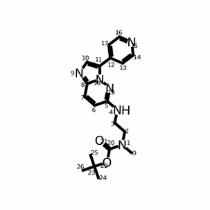 CN(CCNc1ccc2ncc(-c3ccncc3)n2n1)C(=O)OC(C)(C)C